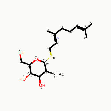 CC(=O)NC1C(O)[C@@H](O)C(CO)O[C@@H]1SC/C=C(\C)CCC=C(C)C